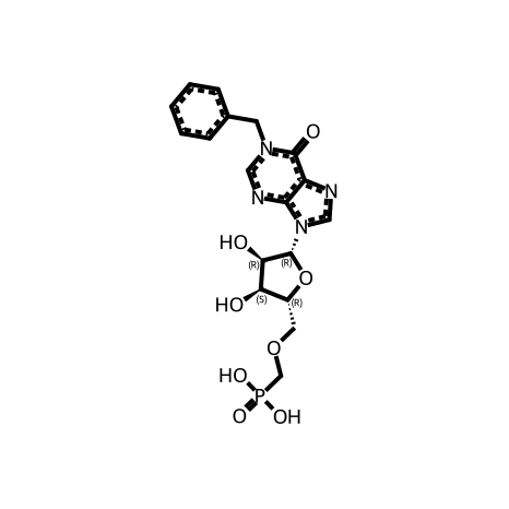 O=c1c2ncn([C@@H]3O[C@H](COCP(=O)(O)O)[C@@H](O)[C@H]3O)c2ncn1Cc1ccccc1